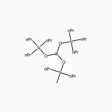 CCC[Si](C)(CCC)OB(O[Si](CCC)(CCC)CCC)O[Si](CCC)(CCC)CCC